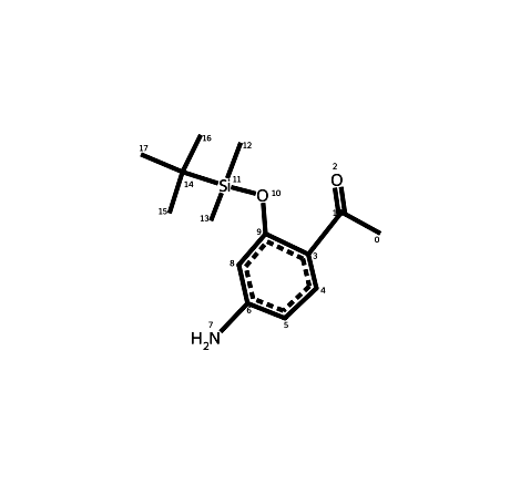 CC(=O)c1ccc(N)cc1O[Si](C)(C)C(C)(C)C